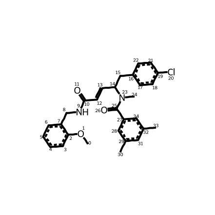 COc1ccccc1CNC(=O)C=CC(Cc1ccc(Cl)cc1)N(C)C(=O)c1cc(C)cc(C)c1